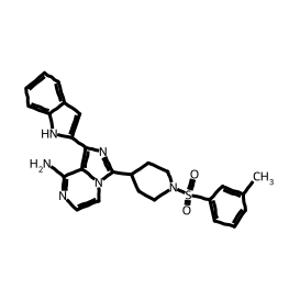 Cc1cccc(S(=O)(=O)N2CCC(c3nc(-c4cc5ccccc5[nH]4)c4c(N)nccn34)CC2)c1